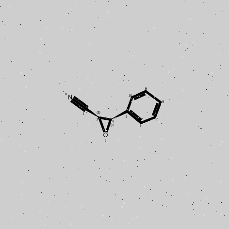 N#C[C@@H]1O[C@@H]1c1ccccc1